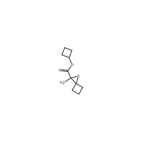 CC1(C(=O)OC2CCC2)OC12CCC2